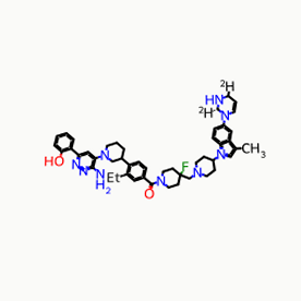 [2H]C1C=CN(c2ccc3c(c2)c(C)cn3C2CCN(CC3(F)CCN(C(=O)c4ccc(C5CCCN(c6cc(-c7ccccc7O)nnc6N)C5)c(CC)c4)CC3)CC2)[C@H]([2H])N1